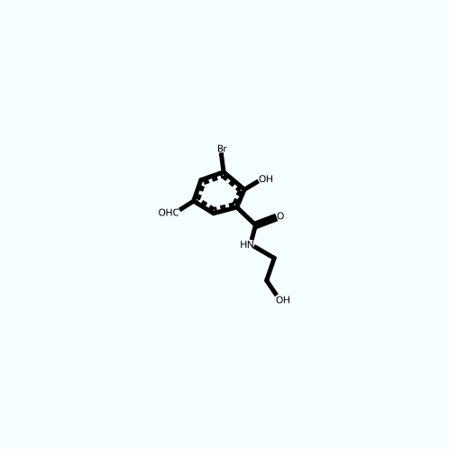 O=Cc1cc(Br)c(O)c(C(=O)NCCO)c1